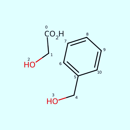 O=C(O)CO.OCc1ccccc1